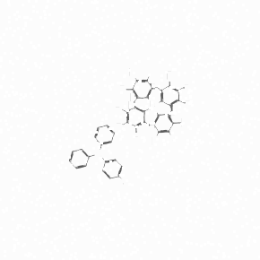 Cc1ccc([S+](c2ccccc2)c2ccccc2)cc1.Fc1c(F)c(F)c([B-](c2c(F)c(F)c(F)c(F)c2F)(c2c(F)c(F)c(F)c(F)c2F)c2c(F)c(F)c(F)c(F)c2F)c(F)c1F